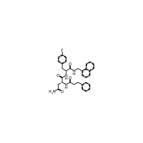 NC(=O)C[C@H](NC(=O)CCc1ccccc1)C(=O)NC(Cc1ccc(F)cc1)C(=O)NCc1cccc2ccccc12